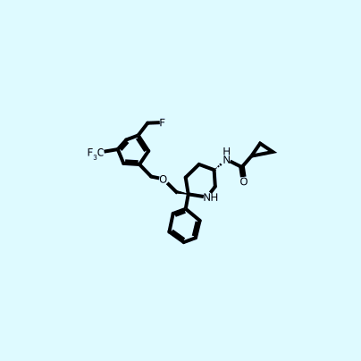 O=C(N[C@H]1CC[C@@](COCc2cc(CF)cc(C(F)(F)F)c2)(c2ccccc2)NC1)C1CC1